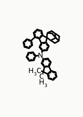 CC1(C)c2ccccc2-c2ccc(N(c3ccccc3)c3ccc4c(c3)-c3c(-c5ccccc5)cccc3C43C4CC5CC(C4)CC3C5)cc21